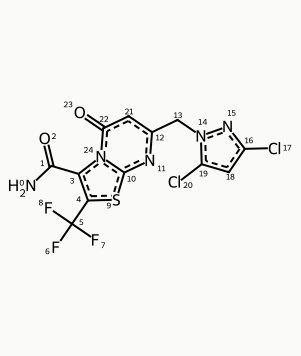 NC(=O)c1c(C(F)(F)F)sc2nc(Cn3nc(Cl)cc3Cl)cc(=O)n12